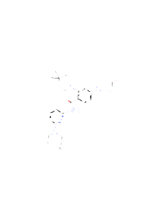 CSc1ccc(NC(=O)c2ccc(NS[C@@H](C)CO)cc2N2CCC3(CC2)CC3)nc1N1CCO[C@H](C)C1